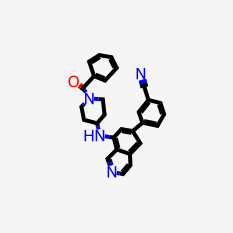 N#Cc1cccc(-c2cc(NC3CCN(C(=O)c4ccccc4)CC3)c3cnccc3c2)c1